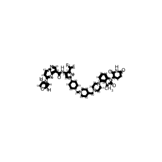 Cn1c(=O)n(C2CCC(=O)NC2=O)c2cccc(N3CCN(CC4CCN(C[C@H]5CC[C@H](n6cc(NC(=O)c7cnn8ccc(N9C[C@@H]%10C[C@H]9CO%10)nc78)c(C(F)F)n6)CC5)CC4)CC3)c21